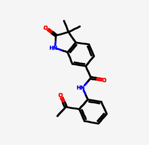 CC(=O)c1ccccc1NC(=O)c1ccc2c(c1)NC(=O)C2(C)C